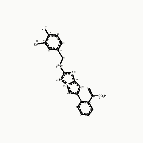 C=C(C(=O)O)c1ccccc1-c1cn2nc(NCc3ccc(Cl)c(Cl)c3)sc2n1